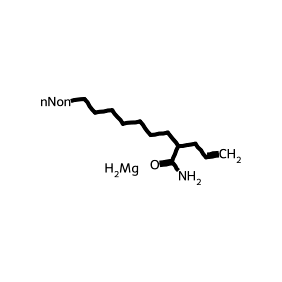 C=CCC(CCCCCCCCCCCCCCCC)C(N)=O.[MgH2]